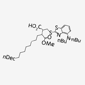 CCCCCCCCCCCCCCCCCCC(C(=O)OC)C(CSc1nc2c(N(CCCC)CCCC)cccc2s1)C(=O)O